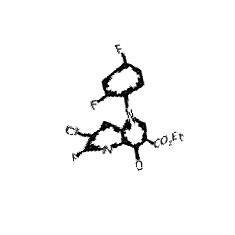 CCOC(=O)c1cn(-c2ccc(F)cc2F)c2cc(Cl)c(F)nc2c1=O